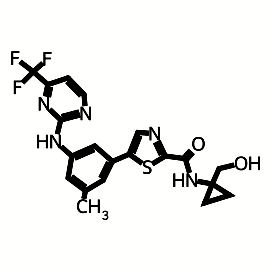 Cc1cc(Nc2nccc(C(F)(F)F)n2)cc(-c2cnc(C(=O)NC3(CO)CC3)s2)c1